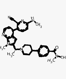 CNc1ccc(-c2ccnc3c2cc([C@@H](C)N2CCC(c4ccc(C(=O)N(C)C)cc4)CC2)n3C)c(C#N)n1